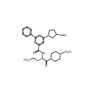 CCOC(=O)N1CCN(C(=O)C(CCC(=O)O)NC(=O)c2cc(N3CCC(OC)C3)nc(-c3ccccc3)n2)CC1